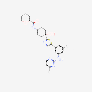 Cc1cc(Nc2nccc(C(F)(F)F)n2)cc(-c2cnc(C3(O)CCC(NC(=O)C4CCCCO4)CC3)s2)c1